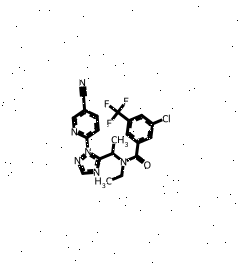 CCN(C(=O)c1cc(Cl)cc(C(F)(F)F)c1)C(C)c1ncnn1-c1ccc(C#N)cn1